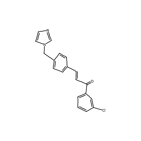 O=C(C=Cc1ccc(Cn2ccnc2)cc1)c1cccc(Cl)c1